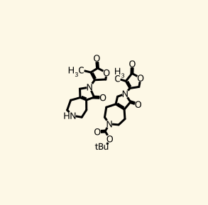 CC1=C(N2CC3=C(CCN(C(=O)OC(C)(C)C)CC3)C2=O)COC1=O.CC1=C(N2CC3=C(CCNCC3)C2=O)COC1=O